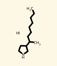 CCCCCCCC(C)C1CCNC1.I